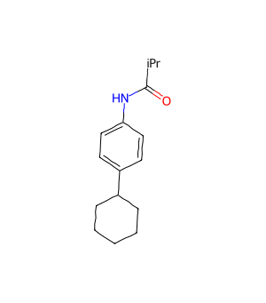 CC(C)C(=O)Nc1ccc(C2CCCCC2)cc1